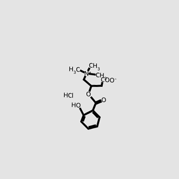 C[N+](C)(C)CC(CC(=O)[O-])OC(=O)c1ccccc1O.Cl